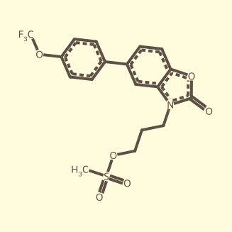 CS(=O)(=O)OCCCn1c(=O)oc2ccc(-c3ccc(OC(F)(F)F)cc3)cc21